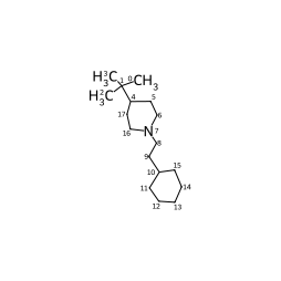 CC(C)(C)C1CCN(CCC2CCCCC2)CC1